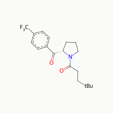 CC(C)(C)CCC(=O)N1CCC[C@H]1C(=O)c1ccc(C(F)(F)F)cc1